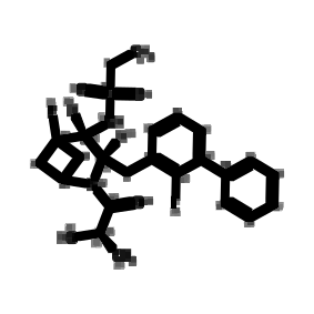 CCS(=O)(=O)N[C@@H]1[C@H](Cc2cccc(-c3ccccc3)c2F)N(C(=O)[C@@H](C)O)C2CC1(F)C2